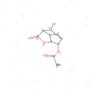 CCC(C)C(=O)OC1C2CC3C1OC(=O)C3C2C